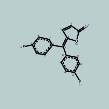 O=C1C=CC(=C(c2ccc(F)cc2)c2ccc(F)cc2)O1